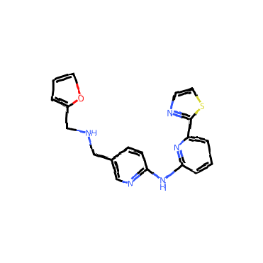 c1cc(Nc2ccc(CNCc3ccco3)cn2)nc(-c2nccs2)c1